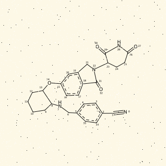 N#Cc1ccc(CNC2CCCCC2Oc2ccc3c(c2)CN(C2CCC(=O)NC2=O)C3=O)cc1